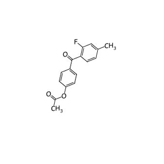 CC(=O)Oc1ccc(C(=O)c2ccc(C)cc2F)cc1